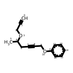 C#CCOC(C)CC#CCOc1ccccc1